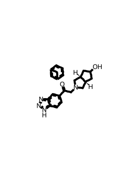 O=C(CN1C[C@H]2CC(O)C[C@H]2C1)c1ccc2[nH]nnc2c1.c1cc2cc(c1)C2